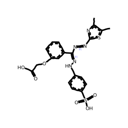 Cc1nc(/N=N/C(=N/Nc2ccc(S(=O)(=O)O)cc2)c2cccc(OCC(=O)O)c2)sc1C